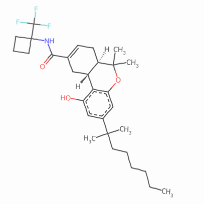 CCCCCCC(C)(C)c1cc(O)c2c(c1)OC(C)(C)[C@@H]1CC=C(C(=O)NC3(C(F)(F)F)CCC3)C[C@@H]21